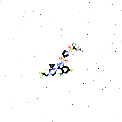 CC(C)S(=O)(=O)n1ccc(S(=O)(=O)n2nc(N3CCN(CC(F)(F)F)CC34CC4)c3c(Cl)cc(F)cc32)c1